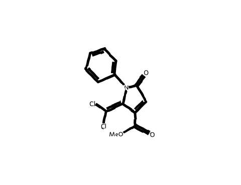 COC(=O)C1=CC(=O)N(c2ccccc2)C1=C(Cl)Cl